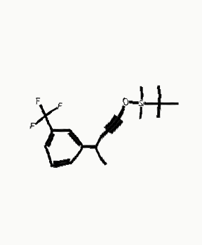 CC(C#CO[Si](C)(C)C(C)(C)C)c1cccc(C(F)(F)F)c1